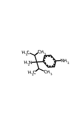 CC(C)C(N)(c1ccc(N)cc1)C(C)C